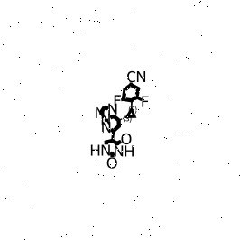 N#Cc1cc(F)c([C@H]2C[C@@H]2c2cc(-c3c[nH]c(=O)[nH]c3=O)nn3ncnc23)c(F)c1